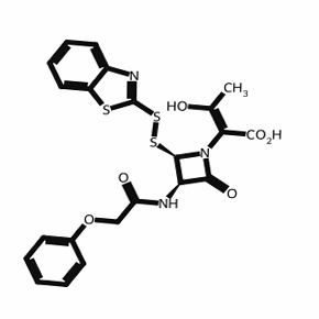 CC(O)=C(C(=O)O)N1C(=O)[C@@H](NC(=O)COc2ccccc2)[C@H]1SSc1nc2ccccc2s1